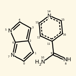 C1=CC2=CC=NC2=N1.N=C(N)c1ccncc1